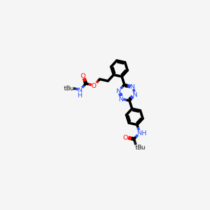 CC(C)(C)NC(=O)OCCc1ccccc1-c1nnc(-c2ccc(NC(=O)C(C)(C)C)cc2)nn1